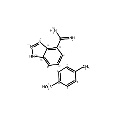 Cc1ccc(S(=O)(=O)O)cc1.N=C(N)c1cccc2[nH]nnc12